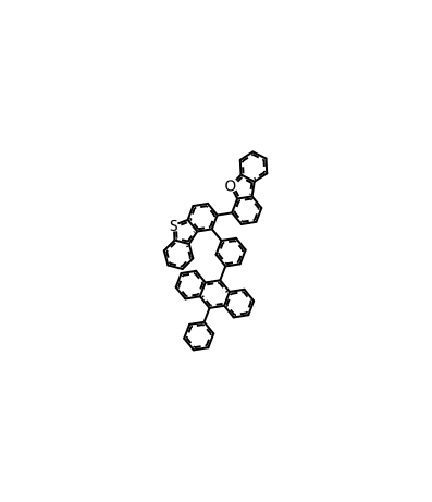 c1ccc(-c2c3ccccc3c(-c3cccc(-c4c(-c5cccc6c5oc5ccccc56)ccc5sc6ccccc6c45)c3)c3ccccc23)cc1